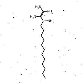 CCCCCCCCCCCCC(N)C(N)=C(N)N